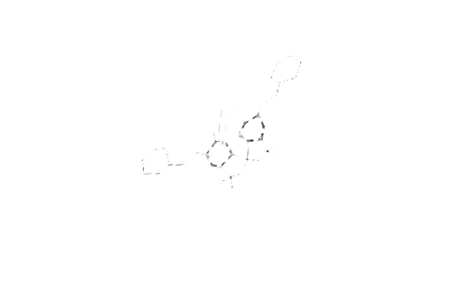 CC1(C)CC2(CC(C)(C)c3cc(OCC4CCCCC4)c(O)cc32)c2cc(O)c(OCC3CCCCC3)cc21